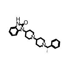 C[C@@H](c1ccccc1)N1CCC(N2CCC(n3c(=O)[nH]c4ccccc43)CC2)CC1